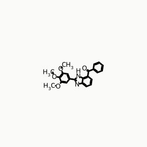 COc1cc(-c2nc3cccc(C(=O)c4ccccc4)c3[nH]2)cc(OC)c1OC